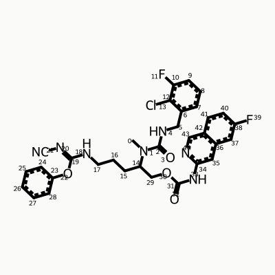 CN(C(=O)NCc1cccc(F)c1Cl)C(CCCNC(=NC#N)Oc1ccccc1)COC(=O)Nc1cc2cc(F)ccc2cn1